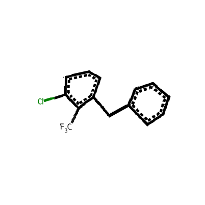 FC(F)(F)c1c(Cl)[c]ccc1Cc1ccccc1